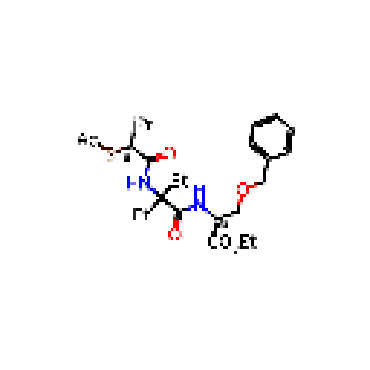 CCOC(=O)[C@H](COCc1ccccc1)NC(=O)C(CC)(CC)NC(=O)[C@@H](SC(C)=O)C(C)C